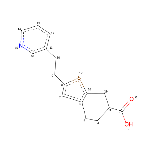 O=C(O)C1CCc2cc(CCc3cccnc3)sc2C1